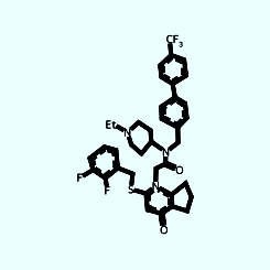 CCN1CCC(N(Cc2ccc(-c3ccc(C(F)(F)F)cc3)cc2)C(=O)Cn2c(SCc3cccc(F)c3F)cc(=O)c3c2CCC3)CC1